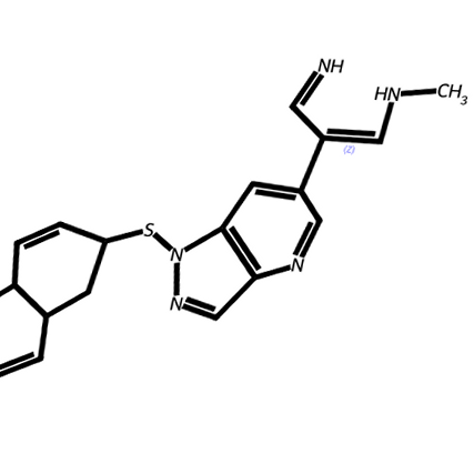 CN/C=C(\C=N)c1cnc2cnn(SC3C=CC4C=CC=CC4C3)c2c1